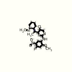 C=NN1C=CC=C/C1=C(/C)c1nc(Nc2cc([N+](=O)[O-])c(F)cc2OC)ncc1Cl